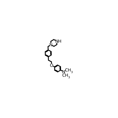 CN(C)c1ccc(OCCc2ccc(CN3CCNCC3)cc2)cc1